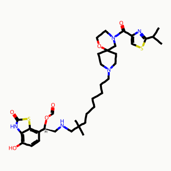 CC(C)c1nc(C(=O)N2CCOC3(CCN(CCCCCCCC(C)(C)CNC[C@H](OC=O)c4ccc(O)c5[nH]c(=O)sc45)CC3)C2)cs1